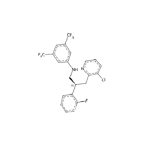 Fc1ccccc1[C@@H](CNc1cc(C(F)(F)F)cc(C(F)(F)F)c1)Cc1ncccc1Cl